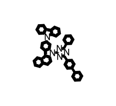 c1ccc(-c2ccc(-c3nc(-c4ccccc4)nc(-n4c5cc(-n6c7ccccc7c7ccccc76)ccc5c5c6ccccc6ccc54)n3)cc2)cc1